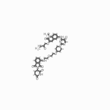 CNC(=O)COc1cc2cc(Nc3nc(N4CCC(OCCOCCNc5cccc6c5C(=O)N(C5CCC(=O)NC5=O)C6=O)CC4)ncc3Cl)ccc2n(C)c1=O